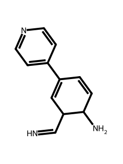 N=CC1C=C(c2ccncc2)C=CC1N